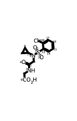 O=C(O)CNC(=O)CN(C1CC1)S(=O)(=O)c1ccccc1Cl